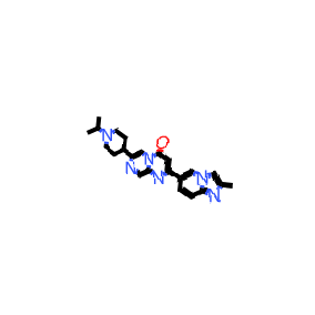 Cc1cn2cc(-c3cc(=O)n4cc(C5CCN(C(C)C)CC5)ncc4n3)ccc2n1